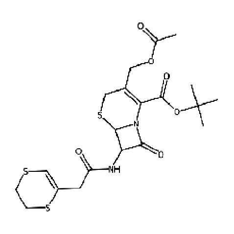 CC(=O)OCC1=C(C(=O)OC(C)(C)C)N2C(=O)C(NC(=O)CC3=CSCCS3)C2SC1